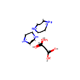 C1CNCCN1.C1CNCCN1.O=C(O)C(=O)O